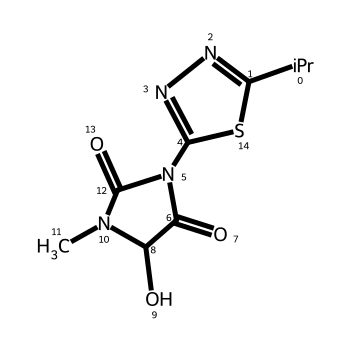 CC(C)c1nnc(N2C(=O)C(O)N(C)C2=O)s1